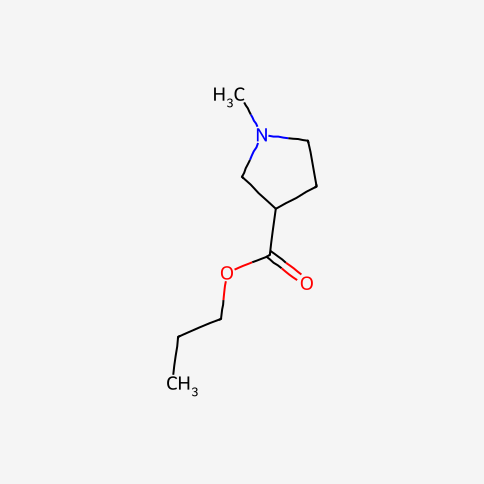 CCCOC(=O)C1CCN(C)C1